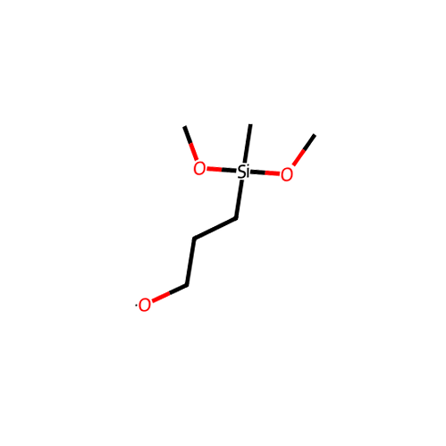 CO[Si](C)(CCC[O])OC